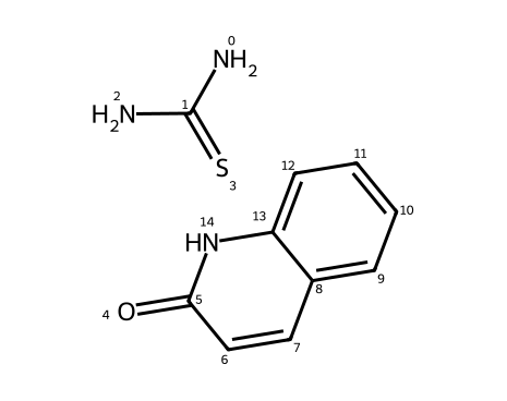 NC(N)=S.O=c1ccc2ccccc2[nH]1